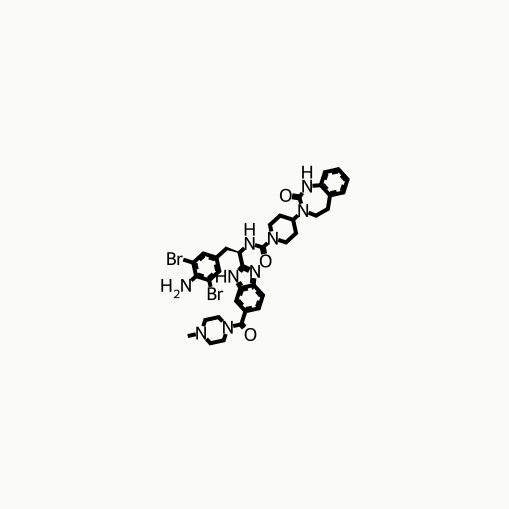 CN1CCN(C(=O)c2ccc3nc([C@@H](Cc4cc(Br)c(N)c(Br)c4)NC(=O)N4CCC(N5CCc6ccccc6NC5=O)CC4)[nH]c3c2)CC1